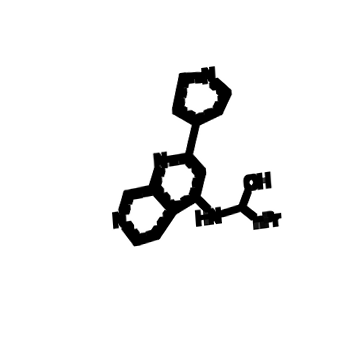 CCCC(O)Nc1cc(-c2ccncc2)nc2cnccc12